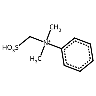 C[N+](C)(CS(=O)(=O)O)c1ccccc1